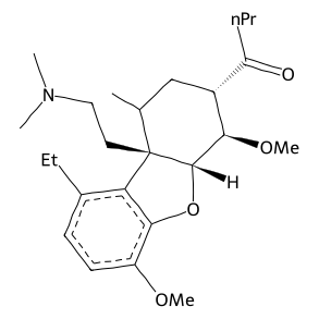 CCCC(=O)[C@H]1CC(C)[C@@]2(CCN(C)C)c3c(CC)ccc(OC)c3O[C@H]2[C@@H]1OC